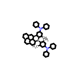 Cc1cc(N(c2ccccc2)c2ccccc2)cc(C)c1B1c2c(C)cc(N(c3ccccc3)c3ccccc3)cc2-c2cc3cccc4ccc5ccc1c2c5c43